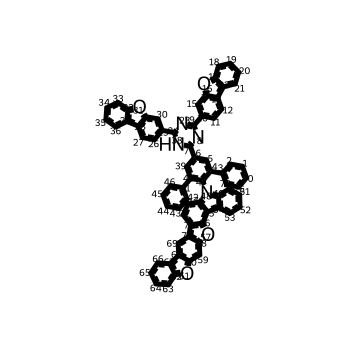 c1ccc(-c2cc(C3=NC(c4ccc5c(c4)oc4ccccc45)=NC(c4ccc5c(c4)oc4ccccc45)N3)cc(-c3ccccc3)c2-n2c3ccccc3c3c4oc5cc6oc7ccccc7c6cc5c4ccc32)cc1